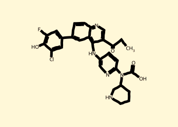 CCC(=O)c1cnc2ccc(-c3cc(F)c(O)c(Cl)c3)cc2c1Nc1ccc(N(C(=O)O)C2CCCNC2)nc1